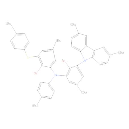 CC(C)(C)c1ccc(Sc2cc(C(C)(C)C)cc(N(c3ccc(C(C)(C)C)cc3)c3cc(C(C)(C)C)cc(-n4c5ccc(C(C)(C)C)cc5c5cc(C(C)(C)C)ccc54)c3Br)c2Br)cc1